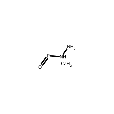 NNP=O.[CaH2]